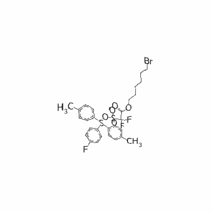 Cc1ccc(S(OS(=O)(=O)C(F)(F)C(=O)OCCCCCCBr)(c2ccc(C)cc2)c2ccc(F)cc2)cc1